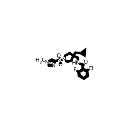 Cn1cnc(S(=O)(=O)N2CCC(CNC(=O)c3c(F)cccc3Cl)(CC3CC3)CC2)c1